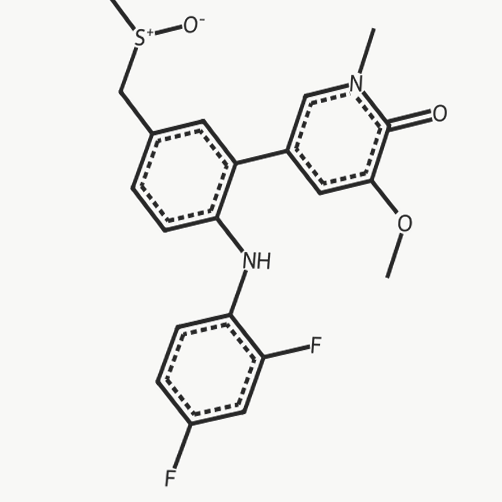 COc1cc(-c2cc(C[S+](C)[O-])ccc2Nc2ccc(F)cc2F)cn(C)c1=O